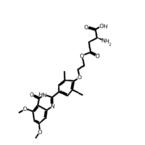 COc1cc(OC)c2c(=O)[nH]c(-c3cc(C)c(OCCOC(=O)C[C@H](N)C(=O)O)c(C)c3)nc2c1